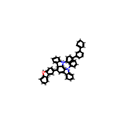 c1ccc(-c2cccc(-c3ccc(-n4c5ccccc5c5c(-c6ccc7oc8ccccc8c7c6)cc6c7ccccc7n(-c7ccccc7)c6c54)cc3)c2)cc1